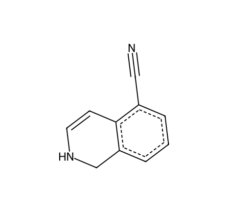 N#Cc1cccc2c1C=CNC2